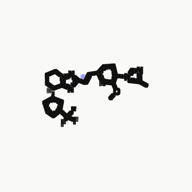 COc1nc(/C=C/c2nc3n(n2)CCC[C@H]3c2cccc(C(F)(F)F)c2)ccc1-n1cnc(C)c1